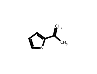 C=C(C)C1=CC=C[N]1